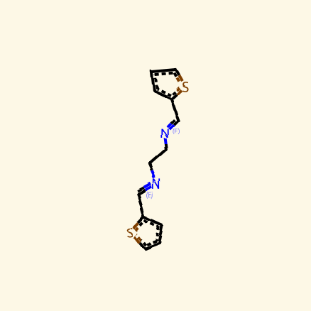 C(=N\CC/N=C/c1cccs1)/c1cccs1